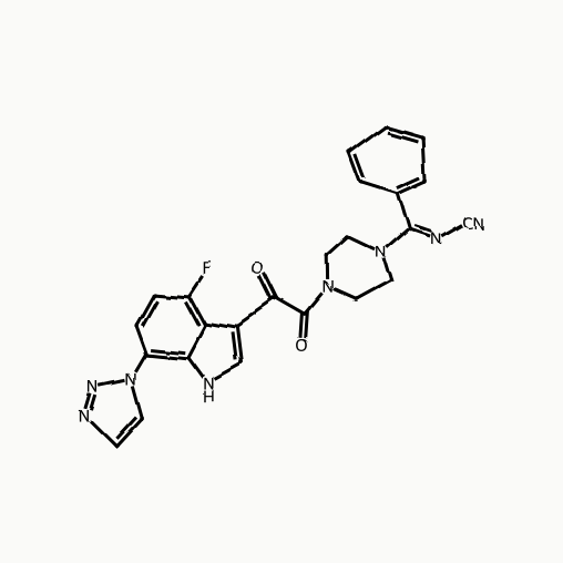 N#C/N=C(\c1ccccc1)N1CCN(C(=O)C(=O)c2c[nH]c3c(-n4ccnn4)ccc(F)c23)CC1